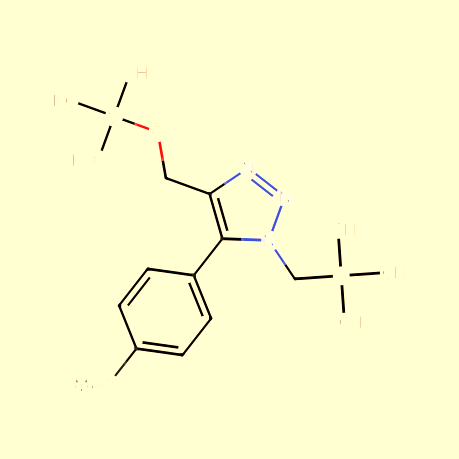 COc1ccc(-c2c(CO[Si](C)(C)C)nnn2C[Si](C)(C)C)cc1